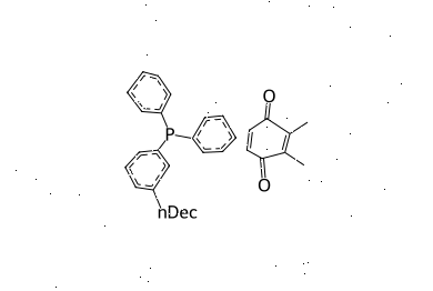 CC1=C(C)C(=O)C=CC1=O.CCCCCCCCCCc1cccc(P(c2ccccc2)c2ccccc2)c1